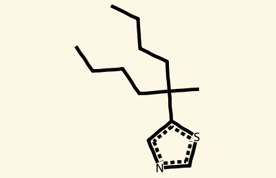 CCCCC(C)(CCCC)c1cncs1